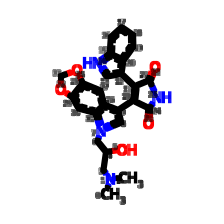 CN(C)CC(O)Cn1cc(C2=C(c3c[nH]c4ccccc34)C(=O)NC2=O)c2cc3c(cc21)OCO3